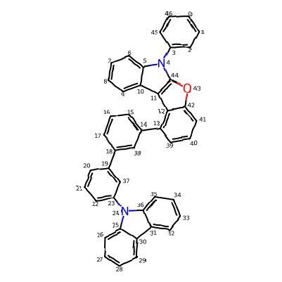 c1ccc(-n2c3ccccc3c3c4c(-c5cccc(-c6cccc(-n7c8ccccc8c8ccccc87)c6)c5)cccc4oc32)cc1